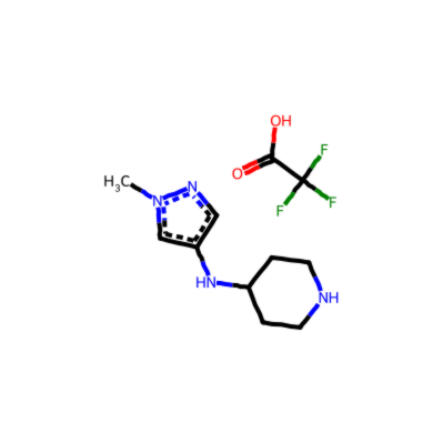 Cn1cc(NC2CCNCC2)cn1.O=C(O)C(F)(F)F